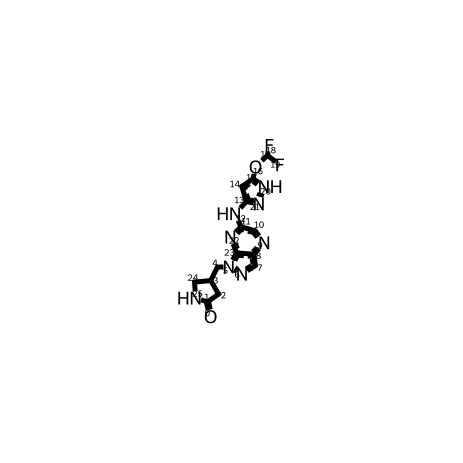 O=C1CC(Cn2ncc3ncc(Nc4cc(OC(F)F)[nH]n4)nc32)CN1